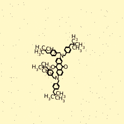 CC(C)(C)Cc1ccc(CN(Cc2ccc(CC(C)(C)C)cc2)c2ccc3c(c2)C(=O)c2ccc(N(Cc4ccc(CC(C)(C)C)cc4)Cc4ccc(CC(C)(C)C)cc4)cc2C3=O)cc1